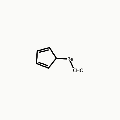 O=[CH][Re][CH]1C=CC=C1